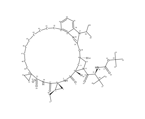 CC[C@@H]1C[C@@]12NC(=O)[C@@H]1C[C@H](CN1C(=O)[C@@H](NC(=O)OC(C)(C)C)C(C)(C)C)Oc1nc3c(cccc3n1C(C)C)CCCCCCCCCC1(CC1)S(=O)(=O)NC2=O